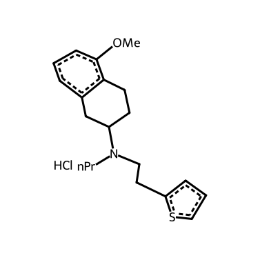 CCCN(CCc1cccs1)C1CCc2c(cccc2OC)C1.Cl